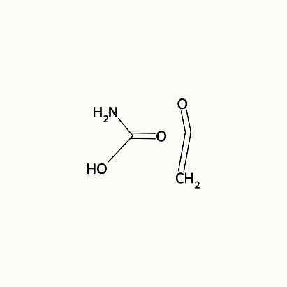 C=C=O.NC(=O)O